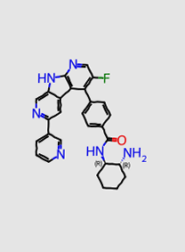 N[C@@H]1CCCC[C@H]1NC(=O)c1ccc(-c2c(F)cnc3[nH]c4cnc(-c5cccnc5)cc4c23)cc1